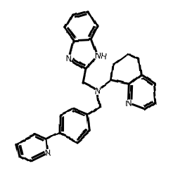 c1ccc(-c2ccc(CN(Cc3nc4ccccc4[nH]3)C3CCCc4cccnc43)cc2)nc1